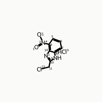 Cl.O=[N+]([O-])c1cccc2[nH]c(CCl)nc12